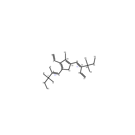 C=CC1=C(/C=C(\C)C(C)(C)CC)CC(/C=C(\C=C)C(C)(C)CC)=C1C